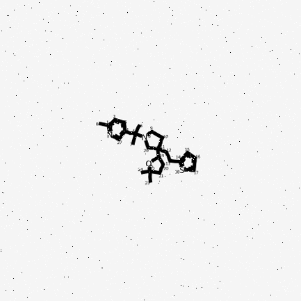 Cc1ccc(C(C)(C)N2CCC(CCc3cccs3)(C3CCC(C)(C)O3)C2)cn1